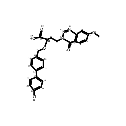 COc1ccc2c(=O)n(CCC(OCc3ccc(-c4ccc(Cl)cc4)cc3)C(=O)O)nnc2c1